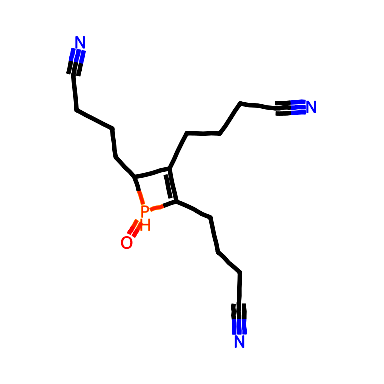 N#CCCCC1=C(CCCC#N)[PH](=O)C1CCCC#N